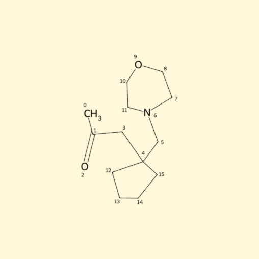 CC(=O)CC1(CN2CCOCC2)CCCC1